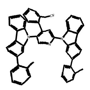 Cc1ccccc1-c1ccc2c3ccccc3n(-c3cc(-c4ccccc4C#N)c(-n4c5ccccc5c5ccc(-c6ccccc6C)cc54)cn3)c2c1